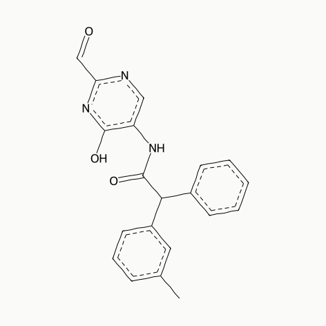 Cc1cccc(C(C(=O)Nc2cnc(C=O)nc2O)c2ccccc2)c1